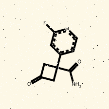 NC(=O)C1(c2ccnc(F)c2)CC(=O)C1